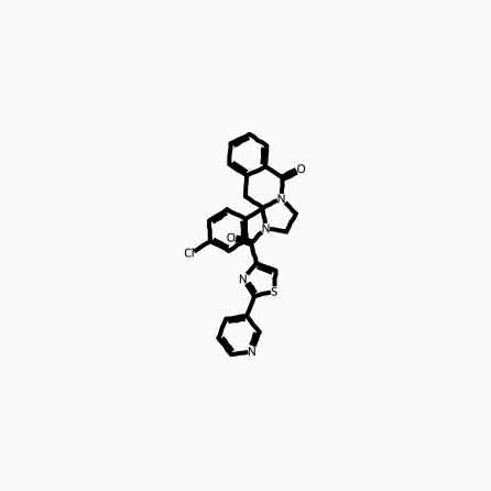 O=C(c1csc(-c2cccnc2)n1)N1CCN2C(=O)c3ccccc3CC12c1ccc(Cl)cc1